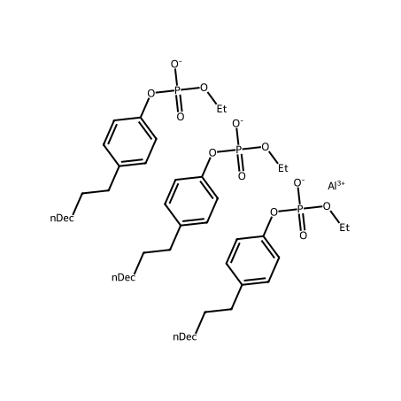 CCCCCCCCCCCCc1ccc(OP(=O)([O-])OCC)cc1.CCCCCCCCCCCCc1ccc(OP(=O)([O-])OCC)cc1.CCCCCCCCCCCCc1ccc(OP(=O)([O-])OCC)cc1.[Al+3]